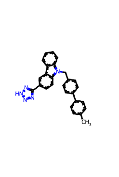 Cc1ccc(-c2ccc(Cn3c4ccccc4c4cc(-c5nn[nH]n5)ccc43)cc2)cc1